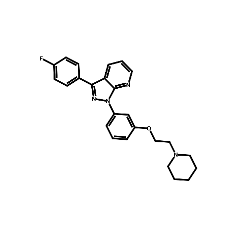 Fc1ccc(-c2nn(-c3cccc(OCCN4CCCCC4)c3)c3ncccc23)cc1